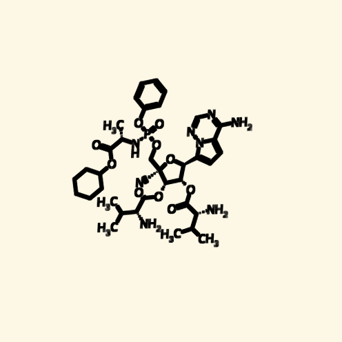 CC(C)[C@@H](N)C(=O)O[C@H]1[C@H](c2ccc3c(N)ncnn23)O[C@](C#N)(CO[P@@](=O)(N[C@@H](C)C(=O)OC2CCCCC2)Oc2ccccc2)[C@H]1OC(=O)[C@H](N)C(C)C